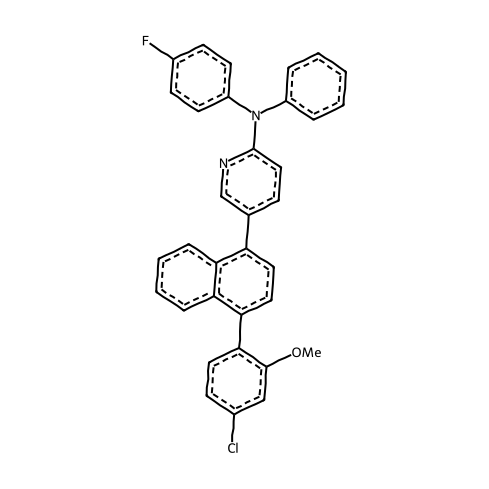 COc1cc(Cl)ccc1-c1ccc(-c2ccc(N(c3ccccc3)c3ccc(F)cc3)nc2)c2ccccc12